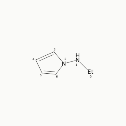 [CH2]CNn1cccc1